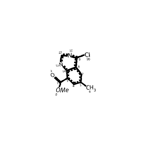 COC(=O)c1cc(C)cc2c(Cl)ncnc12